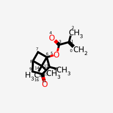 C=C(C)C(=O)OC12CC(CC(=O)C1C)C2(C)C